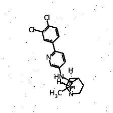 C[C@@H]1[C@@H](Nc2ccc(-c3ccc(Cl)c(Cl)c3)nc2)C2CCN1CC2